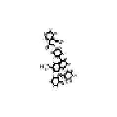 Cc1cc(N2c3ccccc3Sc3ccccc32)c2cccc(-c3ccc(N4C(=O)c5ccncc5C4=O)cc3)c2c1